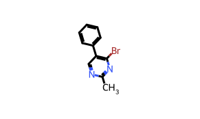 Cc1ncc(-c2ccccc2)c(Br)n1